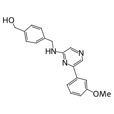 COc1cccc(-c2cncc(NCc3ccc(CO)cc3)n2)c1